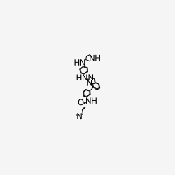 CN(C)CC=CC(=O)Nc1cccc(-c2cccc3cnc(Nc4ccc(NC5CCNC5)cc4)nc23)c1